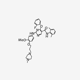 COc1cc(Nc2ncc(C(=O)Nc3c(C)cccc3C)c(Oc3ccccc3F)n2)ccc1OCCCN1CCN(C)CC1